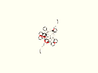 C[Si]1(CCCOCC2CO2)O[Si]2(c3ccccc3)OC34O[Si](c5ccccc5)(O2)O[Si]2(c5ccccc5)O[Si](C)(CCCOCC5CO5)O[Si]5(c6ccccc6)OC6(O[Si](c7ccccc7)(O5)O[Si](c5ccccc5)(O1)O[Si]63c1ccccc1)[Si]4(c1ccccc1)O2